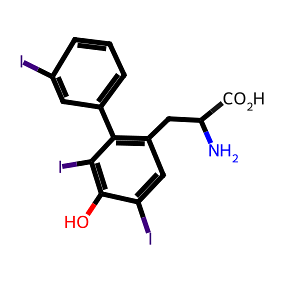 NC(Cc1cc(I)c(O)c(I)c1-c1cccc(I)c1)C(=O)O